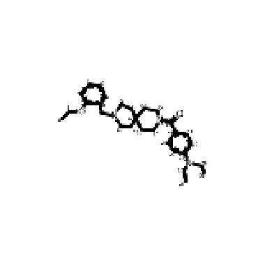 CCOc1ccccc1CN1CCC2(CC1)CCN(C(=O)c1ccc(N(CC)CC)cc1)CC2